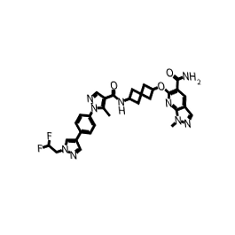 Cc1c(C(=O)NC2CC3(C2)CC(Oc2nc4c(cnn4C)cc2C(N)=O)C3)cnn1-c1ccc(-c2cnn(CC(F)F)c2)cc1